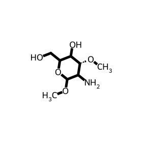 COC1OC(CO)C(O)[C@H](OC)C1N